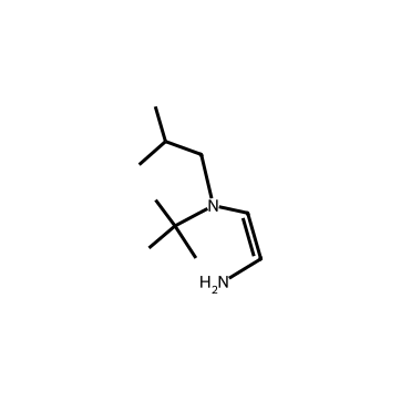 CC(C)CN(/C=C\N)C(C)(C)C